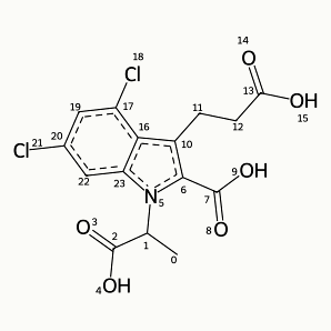 CC(C(=O)O)n1c(C(=O)O)c(CCC(=O)O)c2c(Cl)cc(Cl)cc21